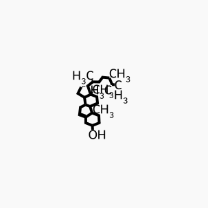 CC(C)C(C)CC[C@@H](C)[C@H]1CCC2C3CC=C4CC(O)CC[C@]4(C)C3CC[C@@]21C